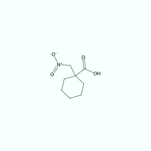 O=C(O)C1(C[N+](=O)[O-])CCCCC1